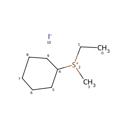 CC[S+](C)C1CCCCC1.[I-]